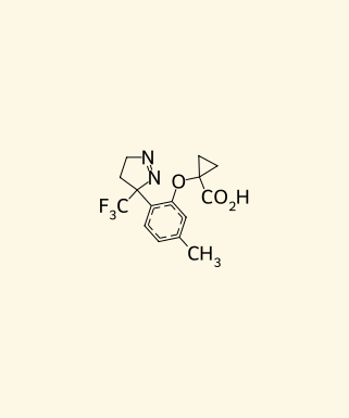 Cc1ccc(C2(C(F)(F)F)CCN=N2)c(OC2(C(=O)O)CC2)c1